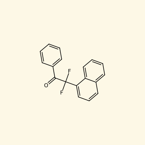 O=C(c1ccccc1)C(F)(F)c1cccc2ccccc12